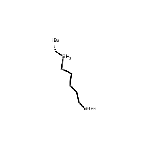 CCCCCCCCCCC[SiH2]C[C@@H](C)CC